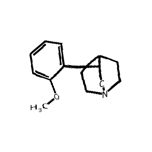 COc1ccccc1C1CN2CCC1CC2